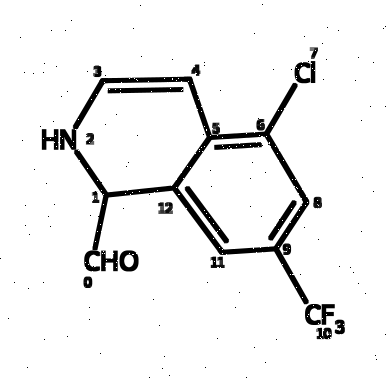 O=CC1NC=Cc2c(Cl)cc(C(F)(F)F)cc21